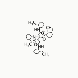 CCC1CCCCC1NC(=O)CC(C(=O)NC1CCCCC1CC)C(CC(=O)NC1CCCCC1CC)C(=O)NC1CCCCC1CC